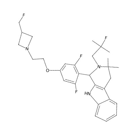 CC(C)(F)CN1C(c2c(F)cc(OCCN3CC(CF)C3)cc2F)c2[nH]c3ccccc3c2CC1(C)C